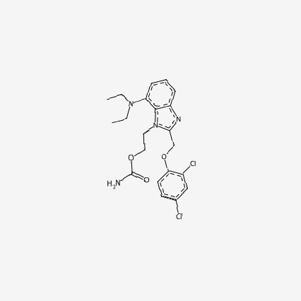 CCN(CC)c1cccc2nc(COc3ccc(Cl)cc3Cl)n(CCOC(N)=O)c12